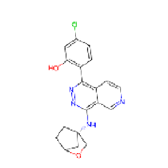 Oc1cc(Cl)ccc1-c1nnc(N[C@@]23CCC(C2)OC3)c2cnccc12